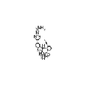 [2H]C([2H])([2H])N1C(=O)c2cccc(C#CC)c2[C@H]2C[C@@H]1c1nc3ccc(-c4cnc(N5CC(C)(N)C5)nc4)cc3n12